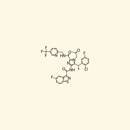 CC(=O)Cn1c(C(=O)NCc2ccc(C(F)(F)F)cn2)nc(NC(=O)c2nsc3ccc(F)cc23)c1[C@H](C)c1cc(F)ccc1Cl